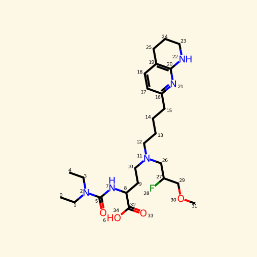 CCN(CC)C(=O)NC(CCN(CCCCc1ccc2c(n1)NCCC2)CC(F)COC)C(=O)O